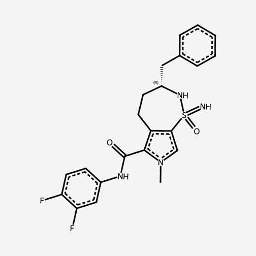 Cn1cc2c(c1C(=O)Nc1ccc(F)c(F)c1)CC[C@H](Cc1ccccc1)NS2(=N)=O